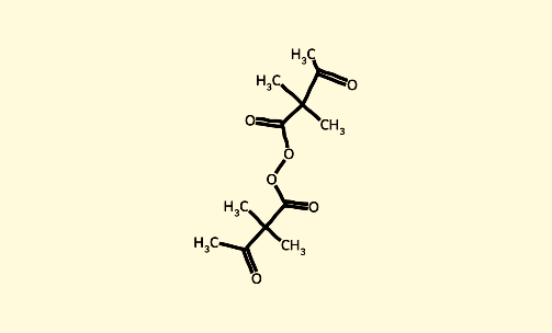 CC(=O)C(C)(C)C(=O)OOC(=O)C(C)(C)C(C)=O